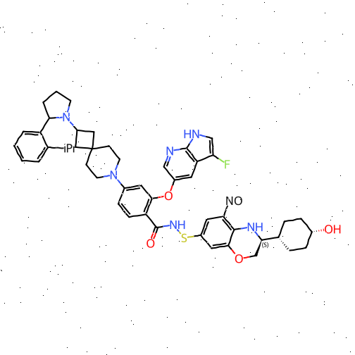 CC(C)c1ccccc1C1CCCN1C1CC2(CCN(c3ccc(C(=O)NSc4cc(N=O)c5c(c4)OC[C@H]([C@H]4CC[C@@H](O)CC4)N5)c(Oc4cnc5[nH]cc(F)c5c4)c3)CC2)C1